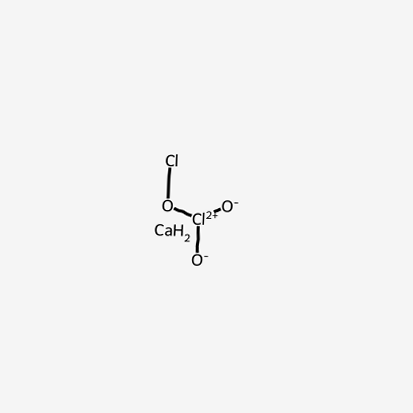 [CaH2].[O-][Cl+2]([O-])OCl